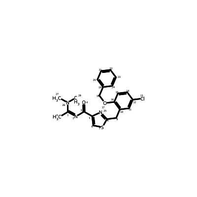 CC(=NC(=O)c1csc(Cc2cc(Cl)ccc2OCc2ccccc2)n1)N(C)C